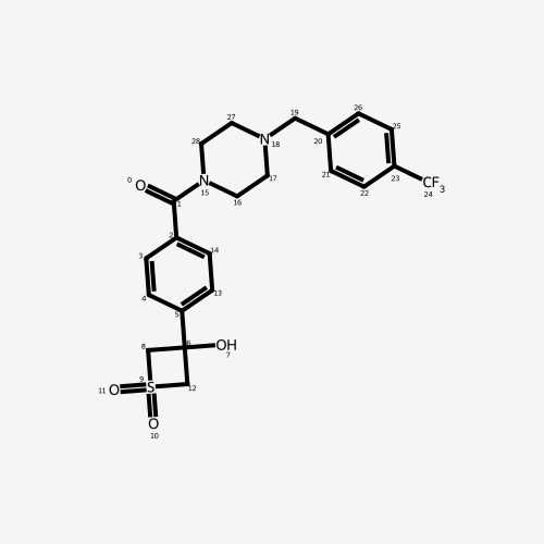 O=C(c1ccc(C2(O)CS(=O)(=O)C2)cc1)N1CCN(Cc2ccc(C(F)(F)F)cc2)CC1